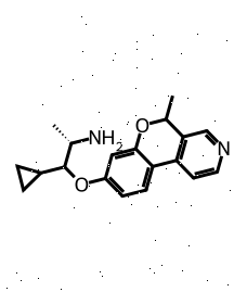 CC1Oc2cc(OC(C3CC3)[C@H](C)N)ccc2-c2ccncc21